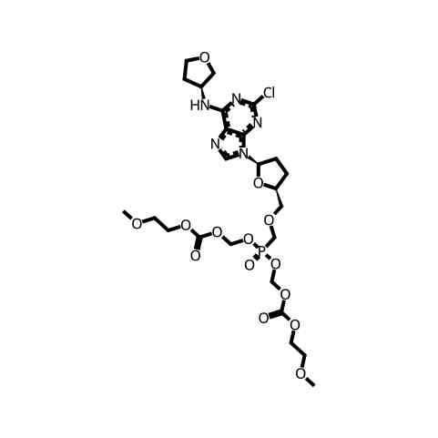 COCCOC(=O)OCOP(=O)(COC[C@@H]1CC[C@H](n2cnc3c(N[C@H]4CCOC4)nc(Cl)nc32)O1)OCOC(=O)OCCOC